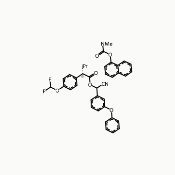 CC(C)[C@H](C(=O)OC(C#N)c1cccc(Oc2ccccc2)c1)c1ccc(OC(F)F)cc1.CNC(=O)Oc1cccc2ccccc12